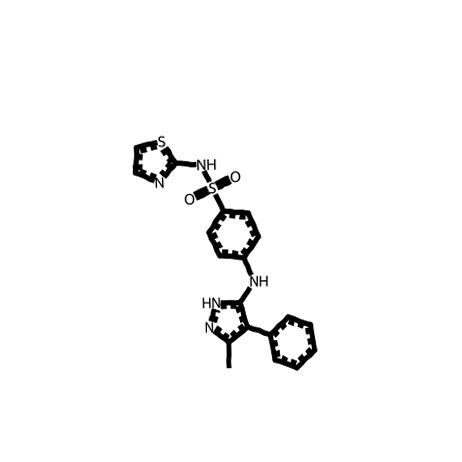 Cc1n[nH]c(Nc2ccc(S(=O)(=O)Nc3nccs3)cc2)c1-c1ccccc1